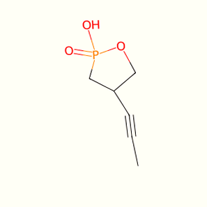 CC#CC1COP(=O)(O)C1